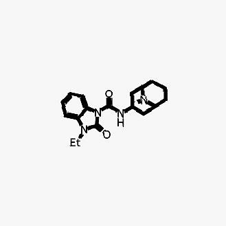 CCn1c(=O)n(C(=O)NC2CC3CCCC(C2)N3C)c2ccccc21